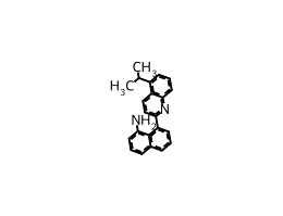 CC(C)c1cccc2nc(-c3cccc4cccc(N)c34)ccc12